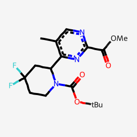 COC(=O)c1ncc(C)c(C2CC(F)(F)CCN2C(=O)OC(C)(C)C)n1